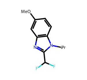 COc1ccc2c(c1)nc(C(F)F)n2C(C)C